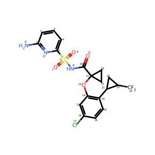 Nc1cccc(S(=O)(=O)NC(=O)C2(Oc3cc(Cl)ccc3C3CC3C(F)(F)F)CC2)n1